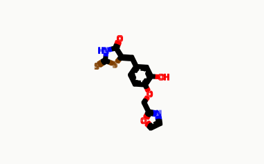 O=C1NC(=S)S/C1=C\c1ccc(OCc2ncco2)c(O)c1